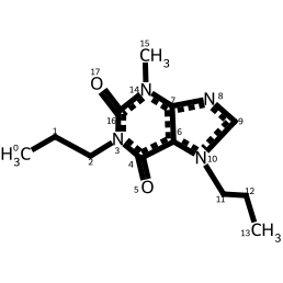 CCCn1c(=O)c2c(ncn2CCC)n(C)c1=O